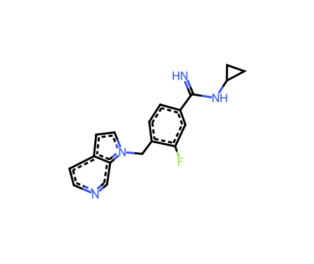 N=C(NC1CC1)c1ccc(Cn2ccc3ccncc32)c(F)c1